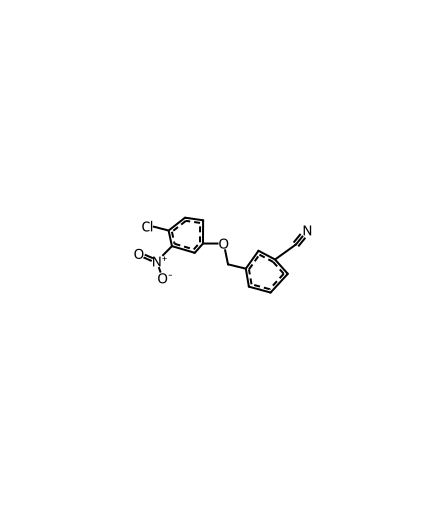 N#Cc1cccc(COc2ccc(Cl)c([N+](=O)[O-])c2)c1